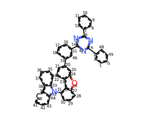 c1ccc(-c2nc(-c3ccccc3)nc(-c3cccc(-c4ccc5c(c4)oc4cccc(-n6c7ccccc7c7ccccc76)c45)c3)n2)cc1